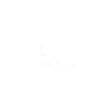 Cn1nc(NC(=O)c2ccncc2)c2ccc(N3CCCCCC3)nc21